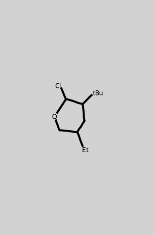 CCC1COC(Cl)C(C(C)(C)C)C1